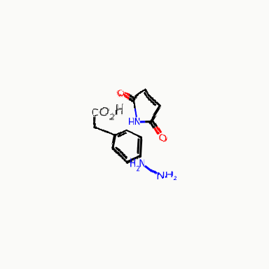 NN.O=C(O)Cc1ccccc1.O=C1C=CC(=O)N1